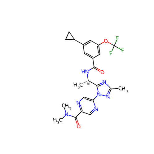 Cc1nc([C@H](C)NC(=O)c2cc(OC(F)(F)F)cc(C3CC3)c2)n(-c2cnc(C(=O)N(C)C)cn2)n1